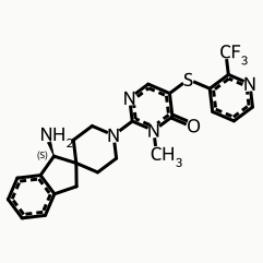 Cn1c(N2CCC3(CC2)Cc2ccccc2[C@H]3N)ncc(Sc2cccnc2C(F)(F)F)c1=O